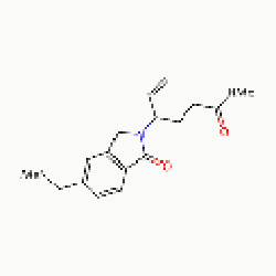 C=CC(CCC(=O)NC)N1Cc2cc(CNC)ccc2C1=O